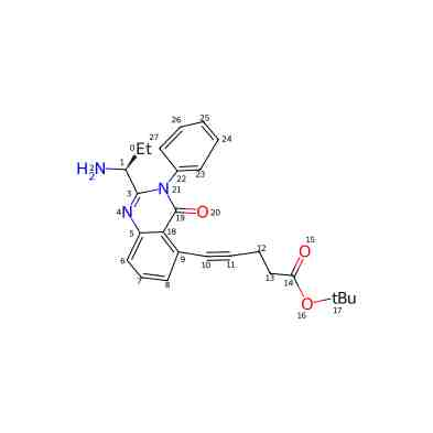 CC[C@H](N)c1nc2cccc(C#CCCC(=O)OC(C)(C)C)c2c(=O)n1-c1ccccc1